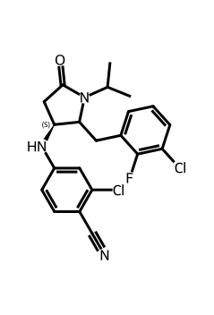 CC(C)N1C(=O)C[C@H](Nc2ccc(C#N)c(Cl)c2)C1Cc1cccc(Cl)c1F